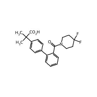 CC(C)(C(=O)O)c1ccc(-c2ccccc2C(=O)N2CCC(F)(F)CC2)cc1